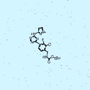 Cn1ccc(Nc2ncnc(-c3ccc(CNC(=O)OC(C)(C)C)c(Cl)c3F)n2)n1